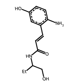 CCC(CO)NC(=O)C=Cc1cc(O)ccc1N